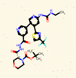 CCNC(=O)Nc1cc(-c2nc(C(F)(F)F)cs2)c(-c2cncc(C(=O)NNC(=O)[C@H]3COCCN3C(=O)OC(C)(C)C)c2)cn1